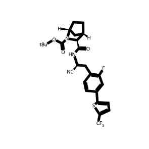 CC(C)(C)OC(=O)N1[C@@H]2CC[C@@H](C2)[C@H]1C(=O)N[C@H](C#N)Cc1ccc(-c2ccc(C(F)(F)F)s2)cc1F